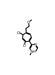 C/C=N\C(=C/NC)C1=CC=C(CCOC)C(Cl)C=C1Cl